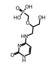 O=c1nc(NCC(CO)OCP(=O)(O)O)cc[nH]1